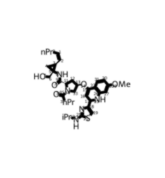 CCC/C=C\[C@@H]1C[C@@]1(CO)NC(=O)[C@@H]1C[C@@H](OC2=CC(c3csc(NC(C)C)n3)Nc3cc(OC)ccc32)CN1C(=O)CCC